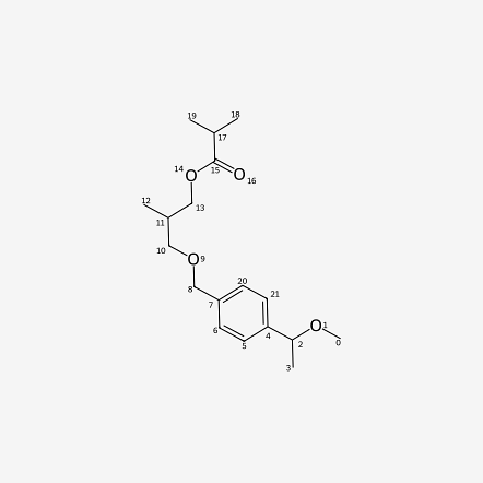 COC(C)c1ccc(COCC(C)COC(=O)C(C)C)cc1